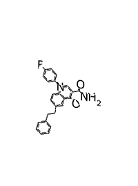 NC(=O)c1cn(-c2ccc(F)cc2)c2ccc(CCc3ccccc3)cc2c1=O